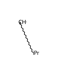 [CH]=CCCCCCCCCCCCCCCCCC(C)C